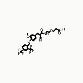 COc1cc(/C=C(\C#N)C(=O)NCCOCCC(=O)O)ccc1OCc1ccc(C(F)(F)F)cc1C(F)(F)F